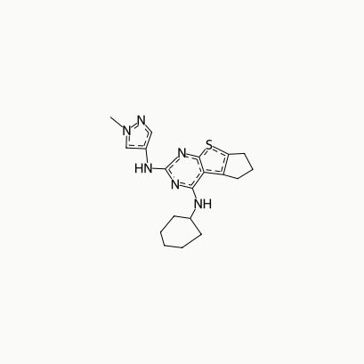 Cn1cc(Nc2nc(NC3CCCCC3)c3c4c(sc3n2)CCC4)cn1